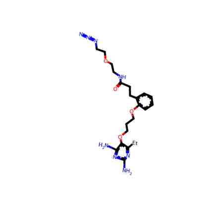 CCc1nc(N)nc(N)c1OCCCOc1ccccc1CCC(=O)NCCOCCN=[N+]=[N-]